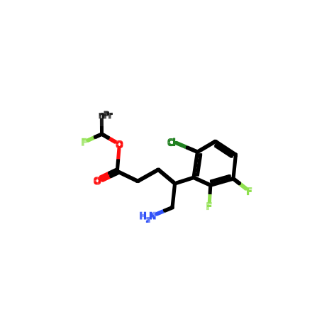 CCCC(F)OC(=O)CCC(CN)c1c(Cl)ccc(F)c1F